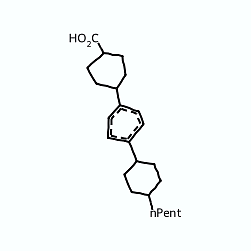 CCCCCC1CCC(c2ccc(C3CCC(C(=O)O)CC3)cc2)CC1